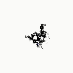 Cc1nc(-c2ccc(C(C)(C)C)cc2)nc(C)c1C(=O)N[C@@H](CNS(N)(=O)=O)C(=O)N(C)[C@@H]1C(=O)N[C@@H](C)C(=O)N[C@H](C(=O)NCC#N)Cc2ccc(O/C=C(\O)CN)c(c2)-c2cc1ccc2OC[C@H](O)CN